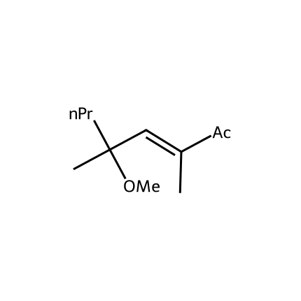 CCCC(C)(C=C(C)C(C)=O)OC